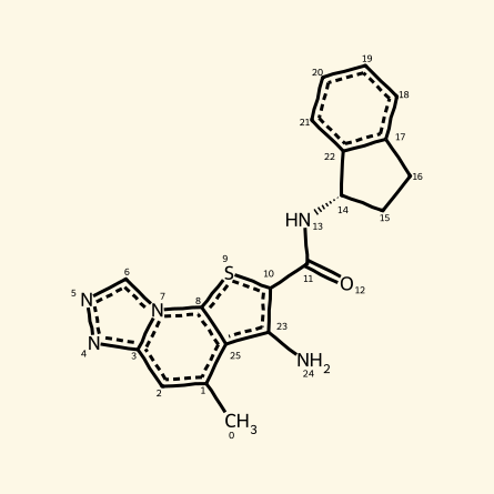 Cc1cc2nncn2c2sc(C(=O)N[C@H]3CCc4ccccc43)c(N)c12